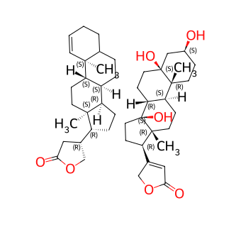 C[C@]12CC[C@H](O)C[C@@]1(O)CC[C@@H]1[C@@H]2CC[C@]2(C)[C@@H](C3=CC(=O)OC3)CC[C@]12O.C[C@]12CC[C@H]3[C@@H](CCC4CCC=C[C@@]43C)[C@H]1CC[C@@H]2[C@@H]1COC(=O)C1